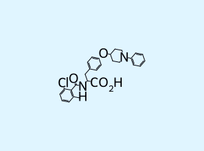 Cc1cccc(Cl)c1C(=O)NC(Cc1ccc(OC2CCN(c3ccccc3)CC2)cc1)C(=O)O